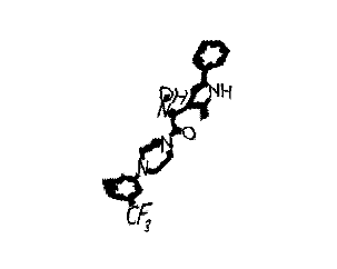 CC1NC(c2ccccc2)=CC1/C(=N\O)C(=O)N1CCN(c2cccc(C(F)(F)F)c2)CC1